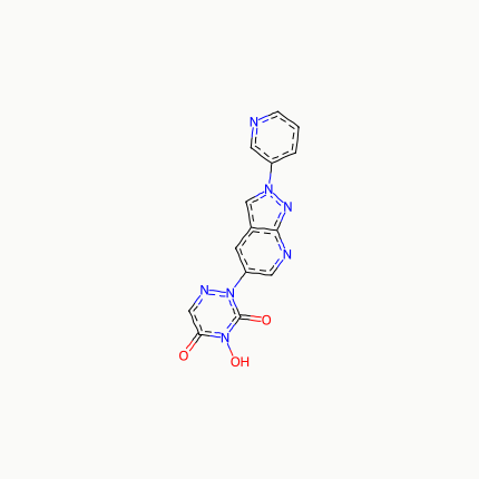 O=c1cnn(-c2cnc3nn(-c4cccnc4)cc3c2)c(=O)n1O